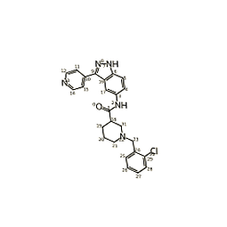 O=C(Nc1ccc2[nH]nc(-c3ccncc3)c2c1)C1CCCN(Cc2ccccc2Cl)C1